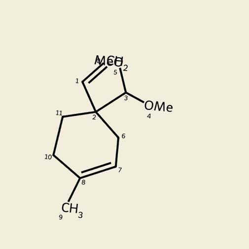 C=CC1(C(OC)OC)CC=C(C)CC1